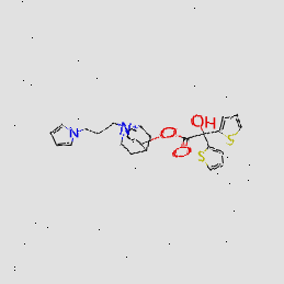 O=C(OC1C[N+]2(CCCn3cccc3)CCC1CC2)C(O)(c1cccs1)c1cccs1